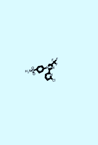 NS(=O)(=O)c1ccc(-n2cc(C(F)(F)F)nc2-c2cccc(Cl)n2)cc1